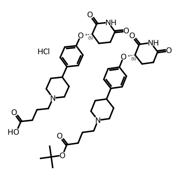 CC(C)(C)OC(=O)CCCN1CCC(c2ccc(O[C@H]3CCC(=O)NC3=O)cc2)CC1.Cl.O=C(O)CCCN1CCC(c2ccc(O[C@H]3CCC(=O)NC3=O)cc2)CC1